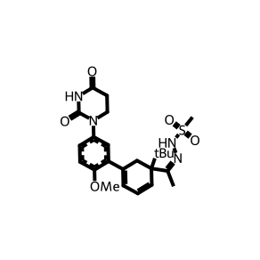 COc1ccc(N2CCC(=O)NC2=O)cc1C1=CC=CC(/C(C)=N\NS(C)(=O)=O)(C(C)(C)C)C1